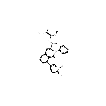 C=N/C(N[C@@H](C)c1cc2cccc(-c3ccc(=O)n(CC)c3)c2c(=O)n1-c1ccccc1)=C(\C)C#N